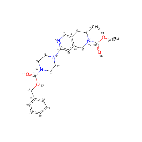 CC1Cc2cnc(N3CCN(C(=O)OCc4ccccc4)CC3)cc2CN1C(=O)OC(C)(C)C